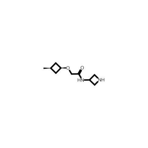 C[C@H]1C[C@@H](OCC(=O)NC2CNC2)C1